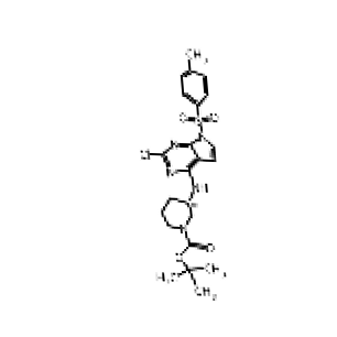 Cc1ccc(S(=O)(=O)n2ccc3c(N[C@@H]4CCCN(C(=O)OC(C)(C)C)C4)nc(Cl)nc32)cc1